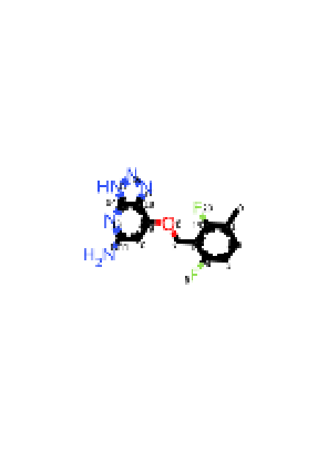 Cc1ccc(F)c(COc2cc(N)nc3[nH]nnc23)c1F